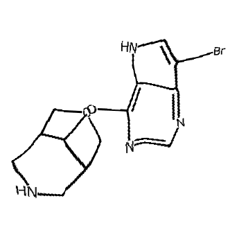 Brc1c[nH]c2c(OC3C4CNCC3COC4)ncnc12